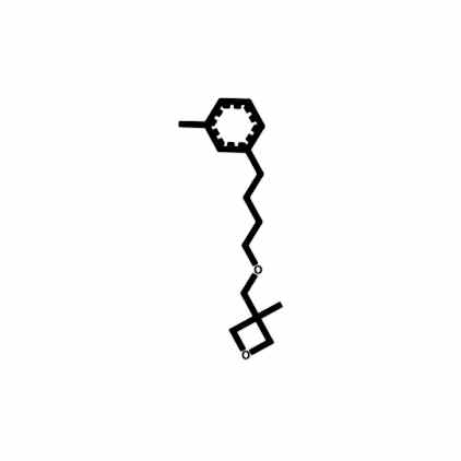 Cc1cccc(CCCCOCC2(C)COC2)c1